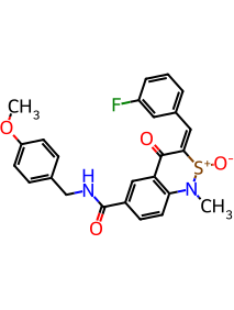 COc1ccc(CNC(=O)c2ccc3c(c2)C(=O)/C(=C\c2cccc(F)c2)[S+]([O-])N3C)cc1